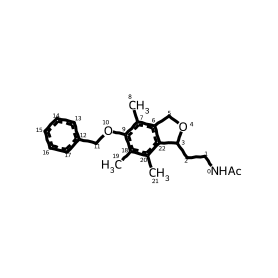 CC(=O)NCCC1OCc2c(C)c(OCc3ccccc3)c(C)c(C)c21